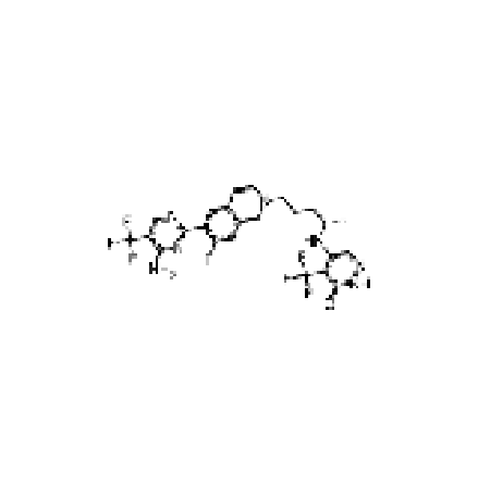 C[C@@H](CCCN1C=Cc2cc(-c3ncc(C(F)(F)F)c(N)n3)c(F)cc2C1)Nc1cn[nH]c(=O)c1C(F)(F)F